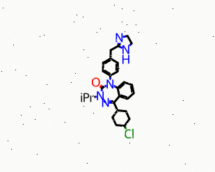 CC(C)N1N=C(C2CCC(Cl)CC2)c2ccccc2N(c2ccc(CC3=NCCN3)cc2)C1=O